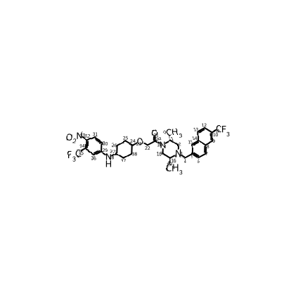 C[C@@H]1CN(Cc2ccc3cc(C(F)(F)F)ccc3c2)[C@@H](C)CN1C(=O)COC1CCC(Nc2ccc([N+](=O)[O-])c(C(F)(F)F)c2)CC1